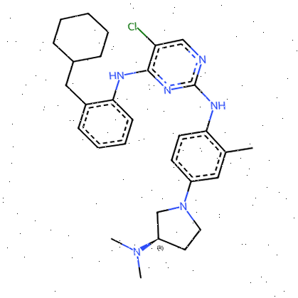 Cc1cc(N2CC[C@@H](N(C)C)C2)ccc1Nc1ncc(Cl)c(Nc2ccccc2CC2CCCCC2)n1